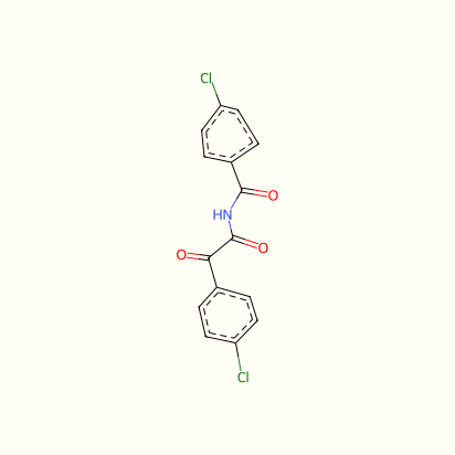 O=C(NC(=O)c1ccc(Cl)cc1)C(=O)c1ccc(Cl)cc1